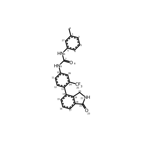 Cc1cccc(NC(=O)Nc2ccc(-c3cccc4c3CNC4=O)c(C(F)(F)F)c2)c1